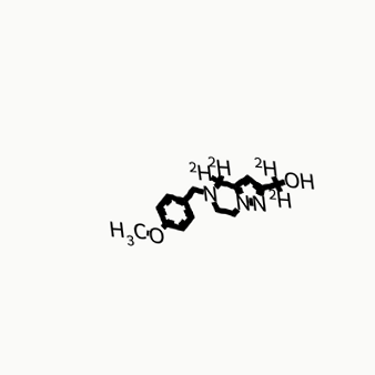 [2H]C([2H])(O)c1cc2n(n1)CCN(Cc1ccc(OC)cc1)C2([2H])[2H]